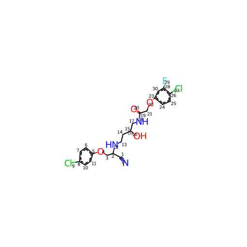 N#CC(COc1ccc(Cl)cc1)NCC[C@H](O)CNC(=O)COc1ccc(Cl)c(F)c1